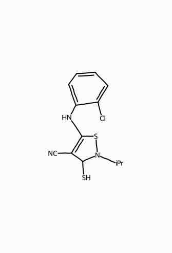 CC(C)N1SC(Nc2ccccc2Cl)=C(C#N)C1S